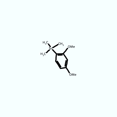 COc1cc[c]([Sn]([CH3])([CH3])[CH3])c(OC)c1